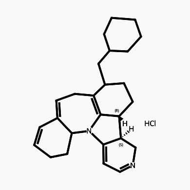 C1=CC2=CCC3=C4[C@H](CCC3CC3CCCCC3)[C@H]3CN=CC=C3N4C2CC1.Cl